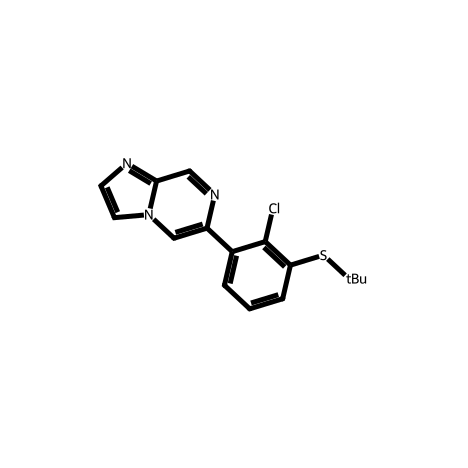 CC(C)(C)Sc1cccc(-c2cn3ccnc3cn2)c1Cl